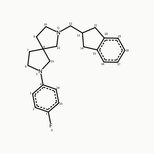 Fc1ccc(N2CCC3(CCN(CC4Cc5ccccc5C4)C3)C2)cc1